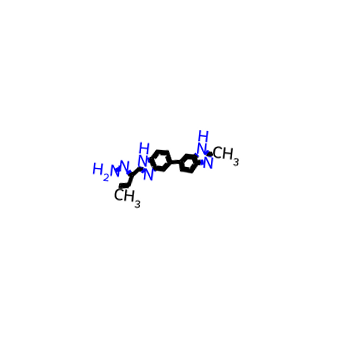 CC=C/C(=N\N)c1nc2cc(-c3ccc4nc(C)[nH]c4c3)ccc2[nH]1